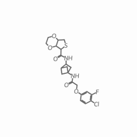 O=C(COc1ccc(Cl)c(F)c1)NC12CC(C1)C(NC(=O)C1SCC3OCCOC31)C2